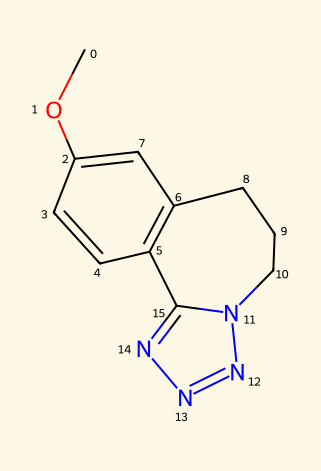 COc1ccc2c(c1)CCCn1nnnc1-2